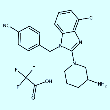 N#Cc1ccc(Cn2c(N3CCCC(N)C3)nc3c(Cl)cccc32)cc1.O=C(O)C(F)(F)F